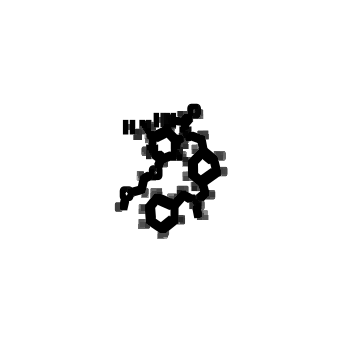 COCCOc1nc(N)c2[nH]c(=O)n(Cc3ccc(CN(C)Cc4ccccc4)cc3)c2n1